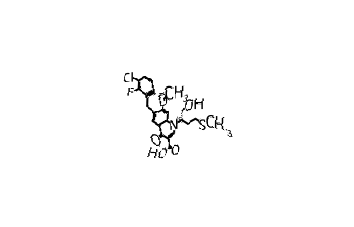 COc1cc2c(cc1Cc1cccc(Cl)c1F)c(=O)c(C(=O)O)cn2[C@H](CO)CCSC